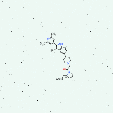 COC[C@@H]1CCCN1C(=O)CN1CCC(c2ccc3[nH]c(-c4cc(C)nc(C)c4)c(C(C)C)c3c2)CC1